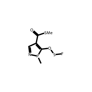 CSC(=O)c1cnp(C)c1OSF